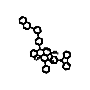 CC1C(c2ccccc2)=CC2(C)C3=C1C(C)(c1cccc(-n4c5ccccc5c5ccccc54)c1)C=CC3(C)N(c1ccc(-c3cccc(-c4ccc5ccccc5c4)c3)cc1)c1ccccc12